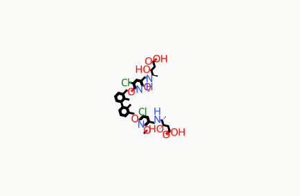 COc1nc(OCc2cccc(-c3cccc(COc4nc(OC)c(CN[C@H](C)[C@@H](O)CC(=O)O)cc4Cl)c3C)c2C)c(Cl)cc1CN[C@H](C)[C@@H](O)CC(=O)O